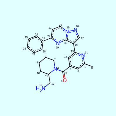 Cc1cc(C(=O)N2CCCCC2CN)cc(-c2cnn3ccc(-c4ccccc4)nc23)n1